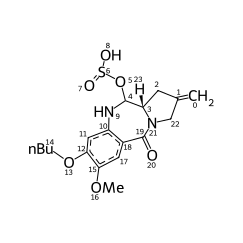 C=C1C[C@H]2C(OS(=O)O)Nc3cc(OCCCC)c(OC)cc3C(=O)N2C1